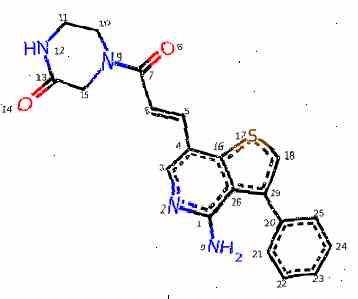 Nc1ncc(C=CC(=O)N2CCNC(=O)C2)c2scc(-c3ccccc3)c12